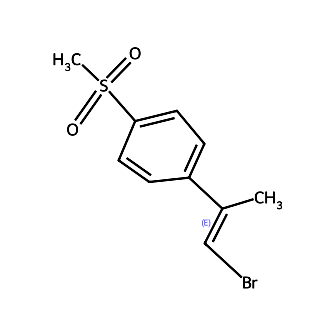 C/C(=C\Br)c1ccc(S(C)(=O)=O)cc1